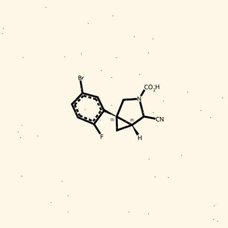 N#CC1[C@@H]2C[C@]2(c2cc(Br)ccc2F)CN1C(=O)O